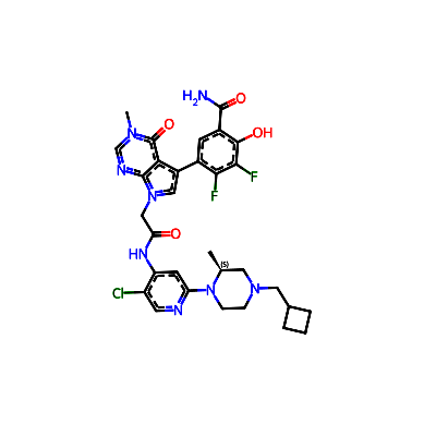 C[C@H]1CN(CC2CCC2)CCN1c1cc(NC(=O)Cn2cc(-c3cc(C(N)=O)c(O)c(F)c3F)c3c(=O)n(C)cnc32)c(Cl)cn1